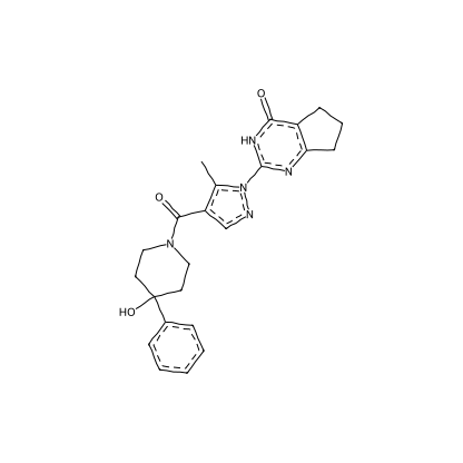 Cc1c(C(=O)N2CCC(O)(c3ccccc3)CC2)cnn1-c1nc2c(c(=O)[nH]1)CCC2